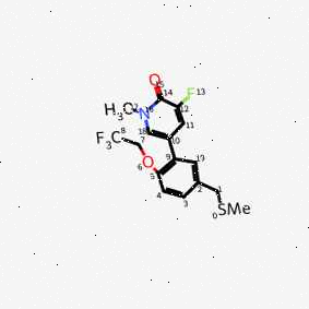 CSCc1ccc(OCC(F)(F)F)c(-c2cc(F)c(=O)n(C)c2)c1